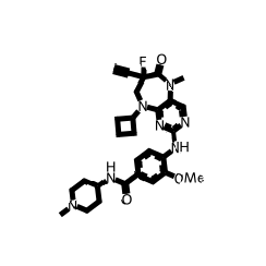 C#CC1(F)CN(C2CCC2)c2nc(Nc3ccc(C(=O)NC4CCN(C)CC4)cc3OC)ncc2N(C)C1=O